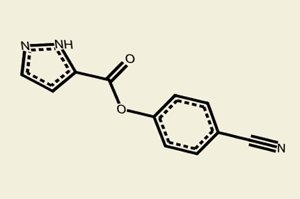 N#Cc1ccc(OC(=O)c2ccn[nH]2)cc1